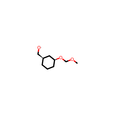 COCO[C@H]1CCC[C@@H](C[O])C1